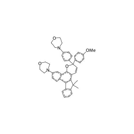 COc1ccc(C2(c3ccc(N4CCOCC4)cc3)C=Cc3c4c(c5ccc(N6CCOCC6)cc5c3O2)-c2ccccc2C4(C)C)cc1